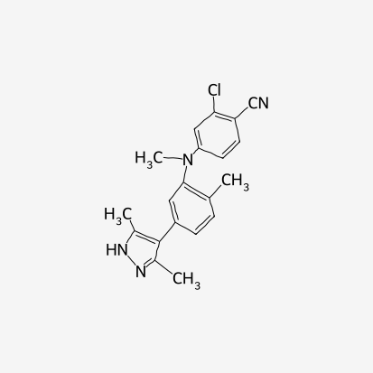 Cc1ccc(-c2c(C)n[nH]c2C)cc1N(C)c1ccc(C#N)c(Cl)c1